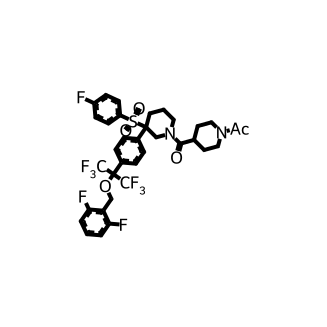 CC(=O)N1CCC(C(=O)N2CCCC(c3ccc(C(OCc4c(F)cccc4F)(C(F)(F)F)C(F)(F)F)cc3)(S(=O)(=O)c3ccc(F)cc3)C2)CC1